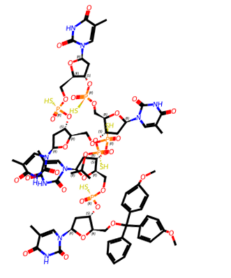 COc1ccc(C(OC[C@H]2O[C@@H](n3cc(C)c(=O)[nH]c3=O)C[C@@H]2O[P@](=O)(S)OC[C@H]2O[C@@H](n3cc(C)c(=O)[nH]c3=O)C[C@@H]2O[P@](=O)(S)OC[C@H]2O[C@@H](n3cc(C)c(=O)[nH]c3=O)C[C@@H]2O[P@](=O)(S)OC[C@H]2O[C@@H](n3cc(C)c(=O)[nH]c3=O)C[C@@H]2O[P@](=O)(S)OC[C@H]2O[C@@H](n3cc(C)c(=O)[nH]c3=O)C[C@@H]2O[P@](=O)(S)OC(C)C)(c2ccccc2)c2ccc(OC)cc2)cc1